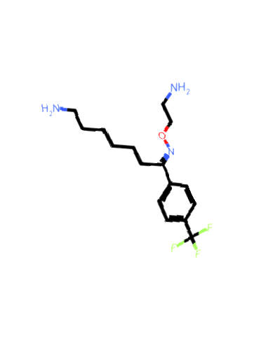 NCCCCCC/C(=N\OCCN)c1ccc(C(F)(F)F)cc1